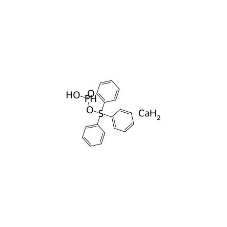 O=[PH](O)OS(c1ccccc1)(c1ccccc1)c1ccccc1.[CaH2]